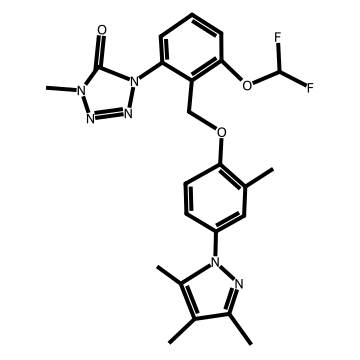 Cc1cc(-n2nc(C)c(C)c2C)ccc1OCc1c(OC(F)F)cccc1-n1nnn(C)c1=O